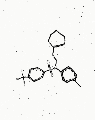 Cc1ccc(N(CCC2=CCCCC2)S(=O)(=O)c2ccc(C(F)(F)F)cc2)cc1